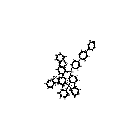 c1ccc(-c2ccc(-c3ccc(N(c4ccc5c(c4)C4(c6ccccc6-5)c5ccccc5-c5c4ccc4oc6ccccc6c54)c4cccc5c4oc4ccccc45)cc3)cc2)cc1